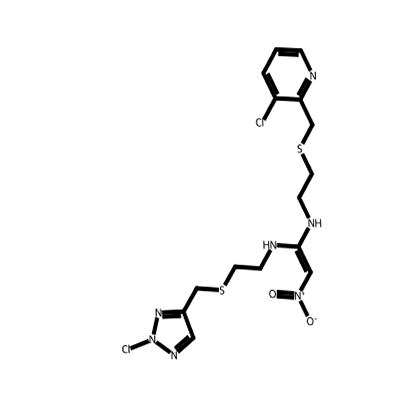 O=[N+]([O-])/C=C(\NCCSCc1cnn(Cl)n1)NCCSCc1ncccc1Cl